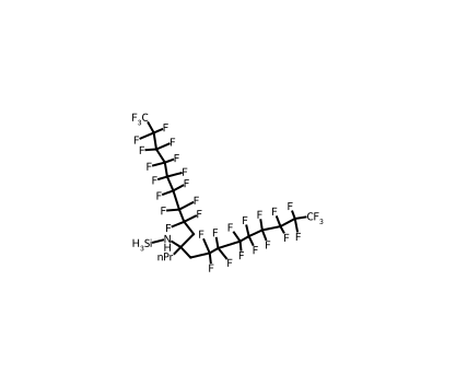 CCCC(CC(F)(F)C(F)(F)C(F)(F)C(F)(F)C(F)(F)C(F)(F)C(F)(F)C(F)(F)F)(CC(F)(F)C(F)(F)C(F)(F)C(F)(F)C(F)(F)C(F)(F)C(F)(F)C(F)(F)F)N[SiH3]